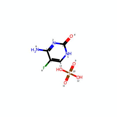 Nc1nc(=O)[nH]cc1F.O=S(=O)(O)O